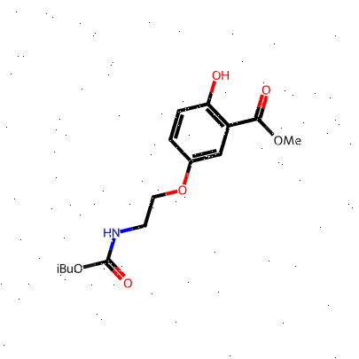 COC(=O)c1cc(OCCNC(=O)OCC(C)C)ccc1O